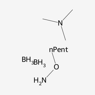 B.B.CCCCCON.CN(C)C